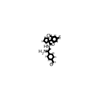 NC(CNC(=O)C1(c2ccc(F)cc2Cl)CCCC1)C1CCC(C=O)CC1